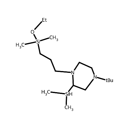 CCO[Si](C)(C)CCCN1CCN(C(C)(C)C)CC1[SiH](C)C